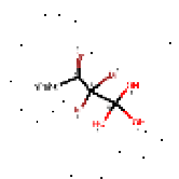 CCCCCC(Br)C(Br)(Br)C(O)(O)O